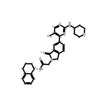 O=C(CN1Cc2ccc(-c3nc(NC4CCOCC4)ncc3Cl)cc2C1=O)N[C@H]1CCCc2ccccc21